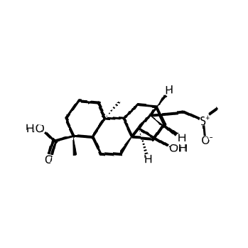 C[S+]([O-])C[C@H]1[C@H]2CC[C@@]3(CCC4[C@@](C)(CCC[C@@]4(C)C(=O)O)C3C2)[C@@H]1O